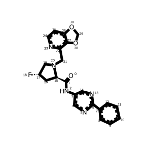 O=C(Nc1cnc(-c2ccccc2)nc1)[C@H]1C[C@H](F)CN1Cc1nccc2c1OCO2